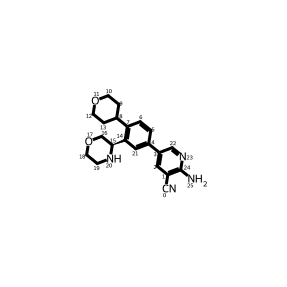 N#Cc1cc(-c2ccc(C3CCOCC3)c([C@@H]3COCCN3)c2)cnc1N